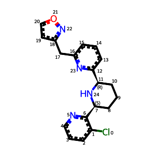 Clc1cccnc1[C@@H]1CCC[C@H](c2cccc(Cc3ccon3)n2)N1